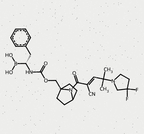 CC(C)(/C=C(\C#N)C(=O)N1C2CCC1(COC(=O)N[C@@H](Cc1ccccc1)B(O)O)CC2)N1CCC(F)(F)C1